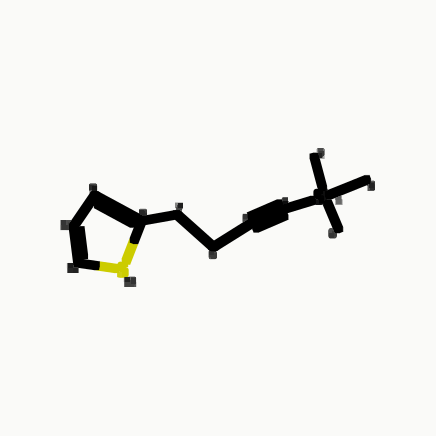 C[Si](C)(C)C#CCCc1cccs1